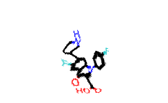 O=C(O)c1cn(-c2ccc(F)cc2)c2cc(C3CCNC3)c(F)cc2c1=O